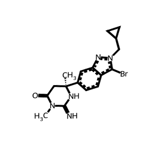 CN1C(=N)N[C@](C)(c2ccc3c(Br)n(CC4CC4)nc3c2)CC1=O